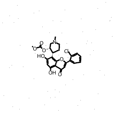 COC(=O)O[C@@H]1CN(C)CC[C@@H]1c1c(O)cc(O)c2c(=O)cc(-c3ccccc3Cl)oc12